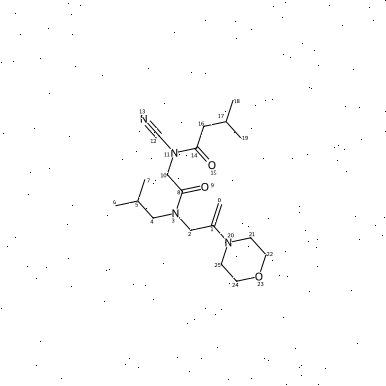 C=C(CN(CC(C)C)C(=O)CN(C#N)C(=O)CC(C)C)N1CCOCC1